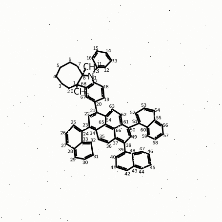 CC12CCCCCCC1(C)N(c1ccccc1)c1ccc(-c3cc(-c4cccc5ccccc45)c4ccc5c(-c6cccc7ccccc67)cc(-c6cccc7ccccc67)c6ccc3c4c65)cc12